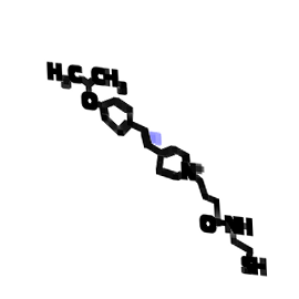 CC(C)Oc1ccc(/C=C/c2cc[n+](CCCC(=O)NCCS)cc2)cc1